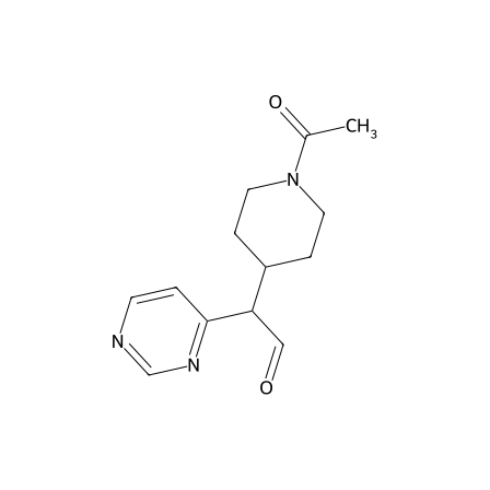 CC(=O)N1CCC(C(C=O)c2ccncn2)CC1